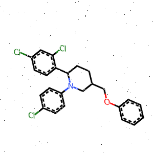 Clc1ccc(N2CC(COc3ccccc3)CCC2c2ccc(Cl)cc2Cl)cc1